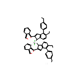 CCc1ccc(-c2c(CC)ccc3c2C=C(c2occ4ccccc24)[CH]3[Zr]([Cl])([Cl])([CH]2C(c3occ4ccccc34)=Cc3c2ccc(CC)c3-c2ccc(CC)cc2)=[Si](C)C)cc1